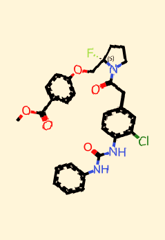 COC(=O)c1ccc(OC[C@@]2(F)CCCN2C(=O)Cc2ccc(NC(=O)Nc3ccccc3)c(Cl)c2)cc1